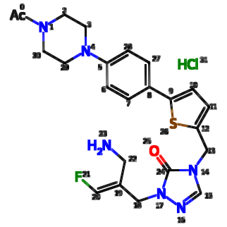 CC(=O)N1CCN(c2ccc(-c3ccc(Cn4cnn(C/C(=C/F)CN)c4=O)s3)cc2)CC1.Cl